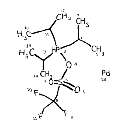 CC(C)[PH](OS(=O)(=O)C(F)(F)F)(C(C)C)C(C)C.[Pd]